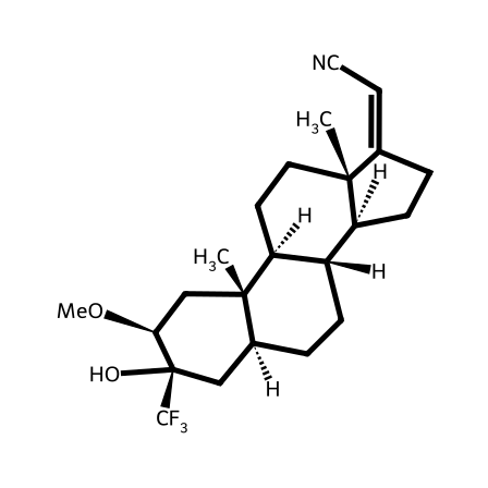 CO[C@H]1C[C@@]2(C)[C@@H](CC[C@@H]3[C@@H]2CC[C@]2(C)/C(=C\C#N)CC[C@@H]32)C[C@@]1(O)C(F)(F)F